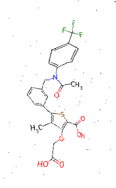 CC(=O)N(Cc1cccc(-c2sc(C(=O)O)c(OCC(=O)O)c2C)c1)c1ccc(C(F)(F)F)cc1